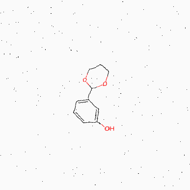 Oc1cccc(C2OCCCO2)c1